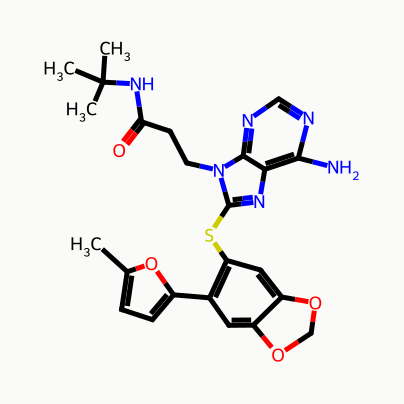 Cc1ccc(-c2cc3c(cc2Sc2nc4c(N)ncnc4n2CCC(=O)NC(C)(C)C)OCO3)o1